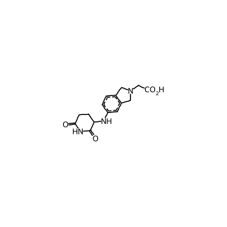 O=C(O)CN1Cc2ccc(NC3CCC(=O)NC3=O)cc2C1